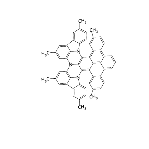 Cc1ccc2c(c1)c1c3c4c(c5c6cc(C)ccc6c6cccc2c6c15)-n1c2ccc(C)cc2c2cc(C)cc(c21)B4c1cc(C)cc2c4cc(C)ccc4n-3c12